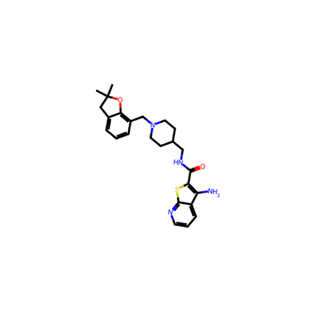 CC1(C)Cc2cccc(CN3CCC(CNC(=O)c4sc5ncccc5c4N)CC3)c2O1